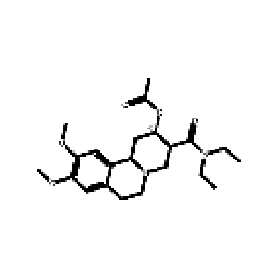 CCN(CC)C(=O)C1CN2CCc3cc(OC)c(OC)cc3C2C[C@H]1OC(C)=O